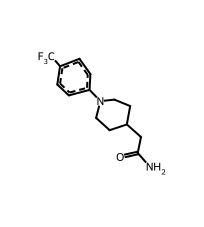 NC(=O)CC1CCN(c2ccc(C(F)(F)F)cc2)CC1